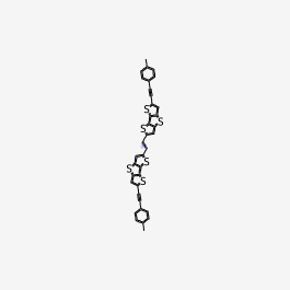 Cc1ccc(C#Cc2cc3sc4cc(/C=C/c5cc6sc7cc(C#Cc8ccc(C)cc8)sc7c6s5)sc4c3s2)cc1